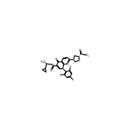 NC(=O)[C@H]1CN(c2ccc3c(=O)c(C(=O)N[C@@H](C4CC4)C(F)(F)F)cn(-c4c(F)cc(F)cc4F)c3n2)CO1